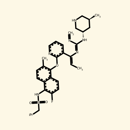 C=N/C(=N\C(=C/C)c1cccnc1Oc1c(C)ccc2c(NS(=O)(=O)CC(C)C)c(F)ccc12)N[C@@H]1CNC[C@@H](C)C1